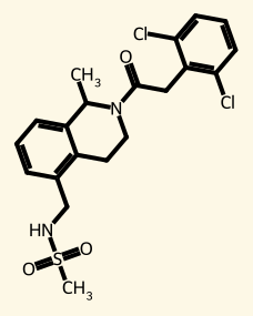 CC1c2cccc(CNS(C)(=O)=O)c2CCN1C(=O)Cc1c(Cl)cccc1Cl